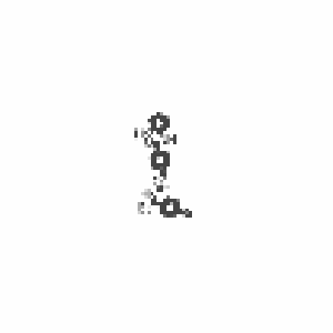 CC[C@H](NC(=O)OCc1ccc(C(=O)Nc2ccccc2S)cc1)c1ccc(Br)cc1